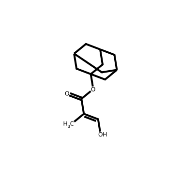 CC(=CO)C(=O)OC12CC3CC(CC(C3)C1)C2